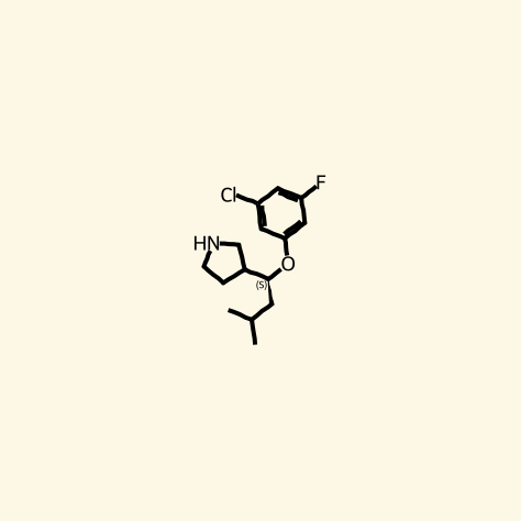 CC(C)C[C@H](Oc1cc(F)cc(Cl)c1)C1CCNC1